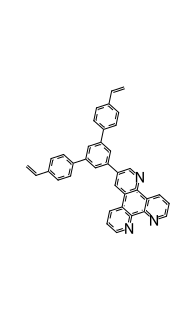 C=Cc1ccc(-c2cc(-c3ccc(C=C)cc3)cc(-c3cnc4c(c3)c3cccnc3c3ncccc43)c2)cc1